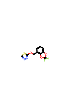 FC1(F)Oc2cccc(COc3nncs3)c2O1